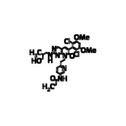 C=CC(=O)Nc1ccc(CCn2c(=O)c(-c3c(Cl)c(OC)cc(OC)c3Cl)cc3cnc(NCC(C)CO)nc32)nc1